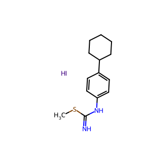 CSC(=N)Nc1ccc(C2CCCCC2)cc1.I